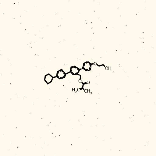 C=C(C)C(=O)OCc1cc(-c2ccc(C3CCCCC3)cc2)ccc1-c1ccc(OCCO)cc1